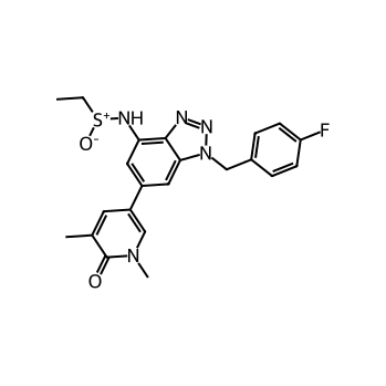 CC[S+]([O-])Nc1cc(-c2cc(C)c(=O)n(C)c2)cc2c1nnn2Cc1ccc(F)cc1